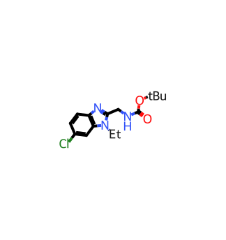 CCn1c(CNC(=O)OC(C)(C)C)nc2ccc(Cl)cc21